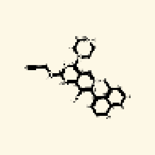 C#CCOc1nc(N2CCNCC2)c2cnc(-c3cccc4cccc(C)c34)c(F)c2n1